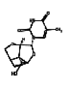 Cc1cn([C@@H]2O[C@@]34CC5CO[C@@H]2[C@]53C4O)c(=O)[nH]c1=O